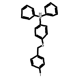 Ic1ccc(CSc2ccc([SiH](c3ccccc3)c3ccccc3)cc2)cc1